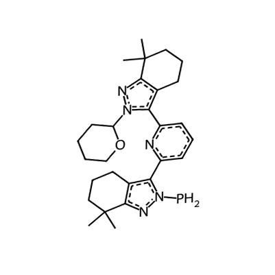 CC1(C)CCCc2c1nn(P)c2-c1cccc(-c2c3c(nn2C2CCCCO2)C(C)(C)CCC3)n1